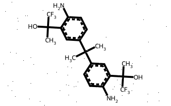 CC(C)(c1ccc(N)c(C(C)(O)C(F)(F)F)c1)c1ccc(N)c(C(C)(O)C(F)(F)F)c1